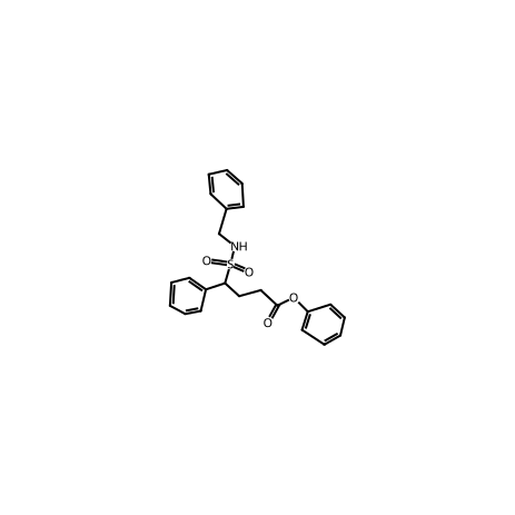 O=C(CCC(c1ccccc1)S(=O)(=O)NCc1ccccc1)Oc1ccccc1